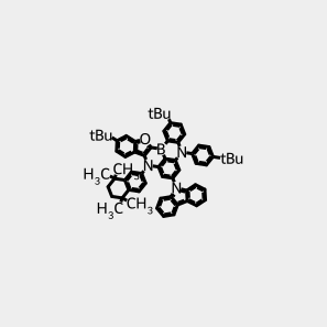 CC(C)(C)c1ccc(N2c3ccc(C(C)(C)C)cc3B3c4oc5cc(C(C)(C)C)ccc5c4N(c4ccc5c(c4)C(C)(C)CCC5(C)C)c4cc(-n5c6ccccc6c6ccccc65)cc2c43)cc1